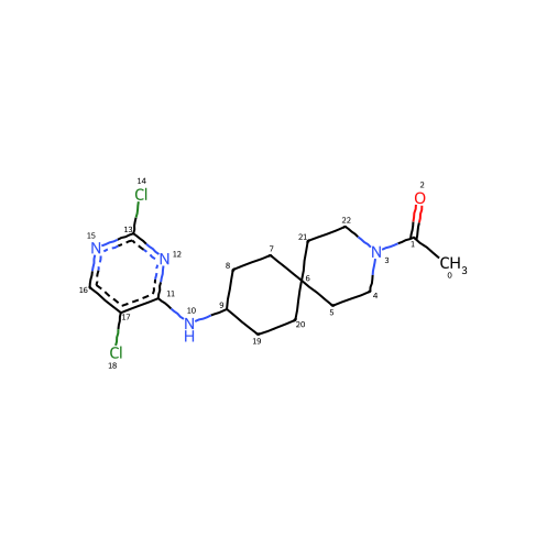 CC(=O)N1CCC2(CCC(Nc3nc(Cl)ncc3Cl)CC2)CC1